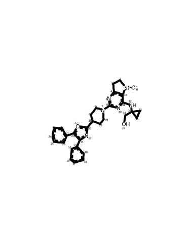 [O-][S@@+]1CCc2nc(N3CCC(c4nc(-c5ccccc5)c(-c5ccccc5)o4)CC3)nc(NC3(CO)CC3)c21